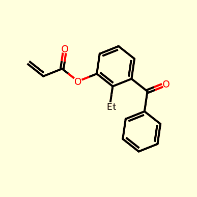 C=CC(=O)Oc1cccc(C(=O)c2ccccc2)c1CC